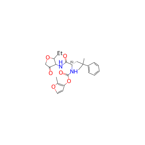 CCC1OCC(=O)C1NC(=O)[C@H](CC(C)(C)c1ccccc1)NC(=O)Oc1ccoc1C